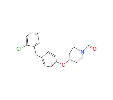 O=CN1CCC(Oc2ccc(Cc3ccccc3Cl)cc2)CC1